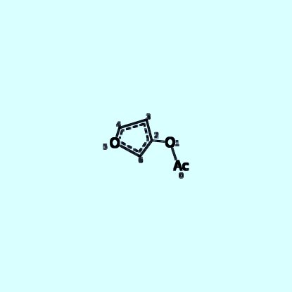 CC(=O)Oc1ccoc1